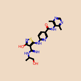 Cc1ncnc(C)c1NC(=O)c1ccc(Nc2snc(O)c2C(=N)NC(C)CO)nc1